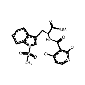 CS(=O)(=O)n1cc(C[C@H](NC(=O)c2c(Cl)ccnc2Cl)C(=O)O)c2ccccc21